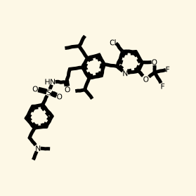 CC(C)c1cc(-c2nc3c(cc2Cl)OC(F)(F)O3)cc(C(C)C)c1CC(=O)NS(=O)(=O)c1ccc(CN(C)C)cc1